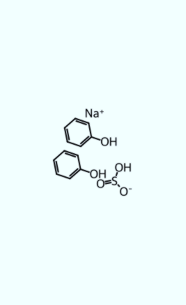 O=S([O-])O.Oc1ccccc1.Oc1ccccc1.[Na+]